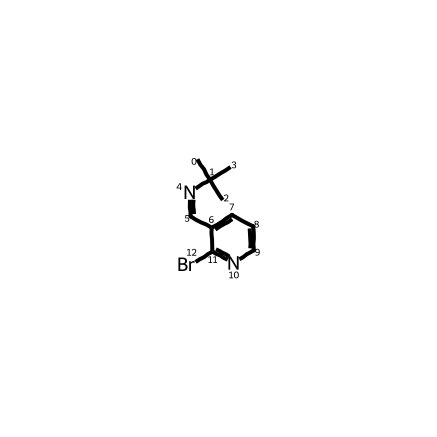 CC(C)(C)/N=C\c1cccnc1Br